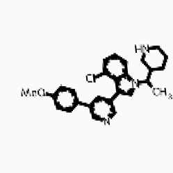 COc1ccc(-c2cncc(-c3cn(C(C)C4CCCNC4)c4cccc(Cl)c34)c2)cc1